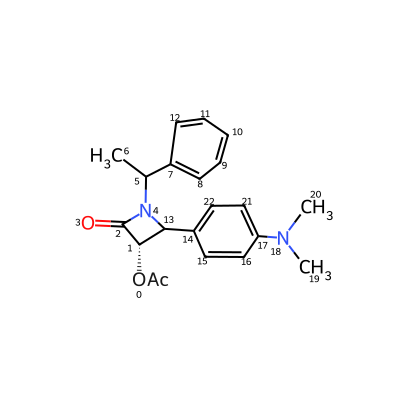 CC(=O)O[C@@H]1C(=O)N(C(C)c2ccccc2)C1c1ccc(N(C)C)cc1